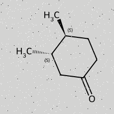 C[C@H]1CCC(=O)C[C@@H]1C